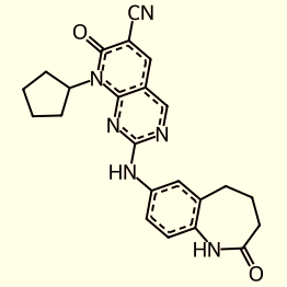 N#Cc1cc2cnc(Nc3ccc4c(c3)CCCC(=O)N4)nc2n(C2CCCC2)c1=O